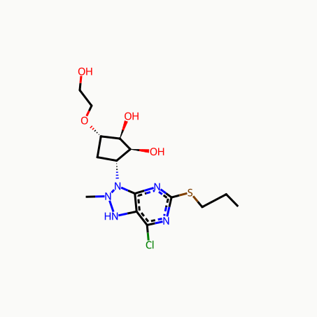 CCCSc1nc(Cl)c2c(n1)N([C@@H]1C[C@H](OCCO)[C@@H](O)[C@H]1O)N(C)N2